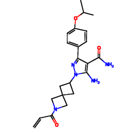 C=CC(=O)N1CC2(CC(n3nc(-c4ccc(OC(C)C)cc4)c(C(N)=O)c3N)C2)C1